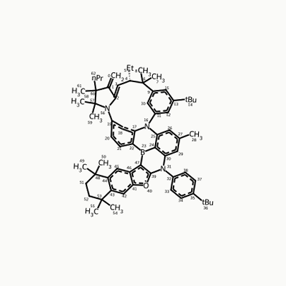 C=C1/C2=C\[C@H](CC)C(C)(C)c3cc(cc(C(C)(C)C)c3)N3c4cc(ccc4B4c5c3cc(C)cc5N(c3ccc(C(C)(C)C)cc3)c3oc5cc6c(cc5c34)C(C)(C)CCC6(C)C)N2C(C)(C)C1(C)CCC